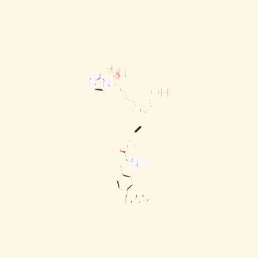 CNc1ccc2c(c1)CNC(C(=O)OCC#CC[C@@H](CCO)OCCCOP(=O)(O)n1ccnc1C)C2